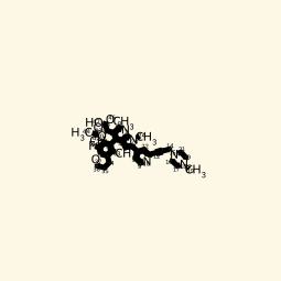 Cc1nc2c(cc(-c3ccnc(C#CCN4CCN(C)CC4)c3)n2C)c(-c2cc(F)c3c(c2C)CCCO3)c1[C@H](OC(C)(C)C)C(=O)O